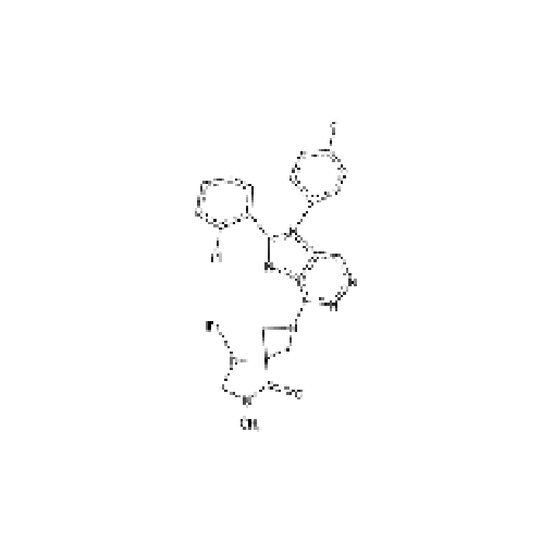 CC(C)N1CN(C)C(=O)C12CN(c1nncc3c1nc(-c1ccccc1Cl)n3-c1ccc(Cl)cc1)C2